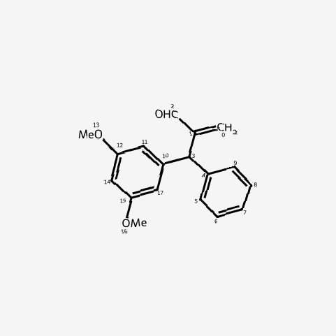 C=C(C=O)C(c1ccccc1)c1cc(OC)cc(OC)c1